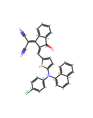 N#CC(C#N)=C1/C(=C/c2ccc(N(c3ccc(Cl)cc3)c3cccc4ccccc34)s2)C(=O)c2ccccc21